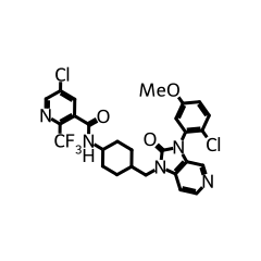 COc1ccc(Cl)c(-n2c(=O)n(CC3CCC(NC(=O)c4cc(Cl)cnc4C(F)(F)F)CC3)c3ccncc32)c1